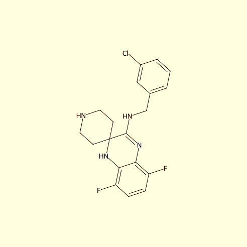 Fc1ccc(F)c2c1N=C(NCc1cccc(Cl)c1)C1(CCNCC1)N2